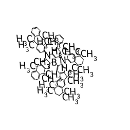 Cc1cc2c(cc1N1c3cc4c(cc3B3c5cc6c(cc5N(c5ccc7c(c5)C(C)(C)c5ccccc5C7(C)C)c5cc(-c7c(C)cccc7C)cc1c53)C(C)(C)c1ccccc1C6(C)C)-c1cc3c(cc1C4(C)C)C(C)(C)CCC3(C)C)C(C)(C)CCC2(C)C